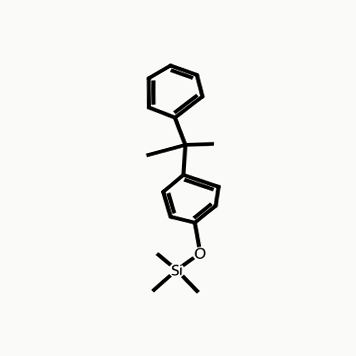 CC(C)(c1ccccc1)c1ccc(O[Si](C)(C)C)cc1